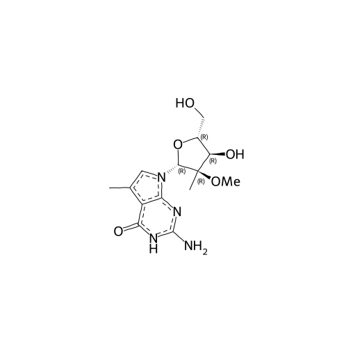 CO[C@]1(C)[C@H](O)[C@@H](CO)O[C@H]1n1cc(C)c2c(=O)[nH]c(N)nc21